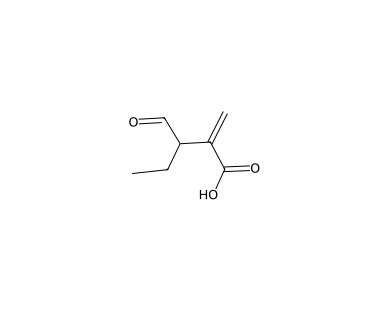 C=C(C(=O)O)C(C=O)CC